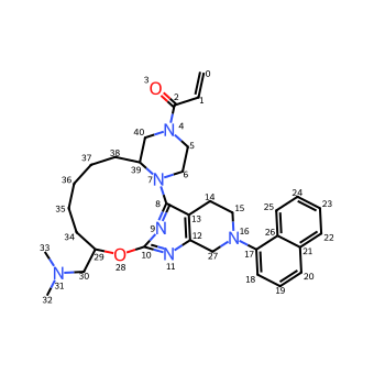 C=CC(=O)N1CCN2c3nc(nc4c3CCN(c3cccc5ccccc35)C4)OC(CN(C)C)CCCCCC2C1